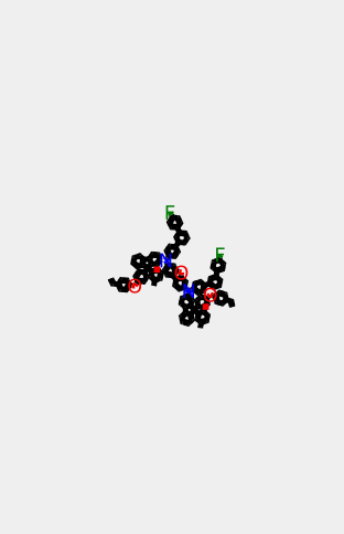 C=Cc1ccc(OC2=CCC(C3(c4cc(C)ccc4C)C4=C(CCC=C4)C4C=CC(N(c5ccc(C6CCC=C(c7ccc(F)cc7)C6)cc5)c5ccc6c(c5)oc5cc(N(C7=CC=C(C8=CCCC(C9=CCC(F)CC9)=C8)CC7)C7=CC8C(CC7)c7ccccc7C8(C7=CC(C)=CCC7C)C7C=CC(OC8=CCC(C=C)C=C8)CC7)ccc56)=CC43)C=C2)cc1